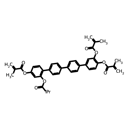 C=C(C)C(=O)Oc1ccc(-c2ccc(-c3ccc(-c4ccc(OC(=O)C(=C)C)c(OC(=O)C(=C)C)c4)cc3)cc2)c(OC(=O)C(C)C)c1